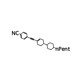 CCCCCC1CCC(C2CC=C(C#Cc3ccc(C#N)cc3)CC2)CC1